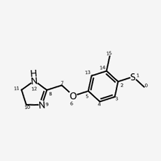 CSc1ccc(OCC2=NCCN2)cc1C